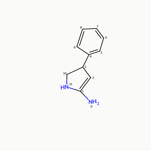 NC1=CC(c2ccccc2)CN1